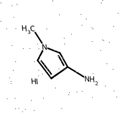 Cn1ccc(N)c1.I